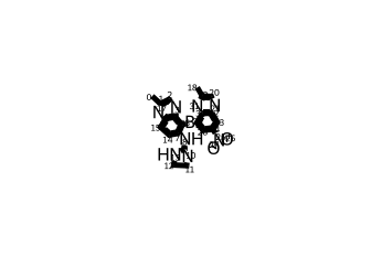 Cc1cnc2c(Br)c(NC3=NCCN3)ccc2n1.Cc1cnc2cc([N+](=O)[O-])ccc2n1